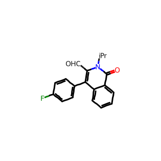 CC(C)n1c(C=O)c(-c2ccc(F)cc2)c2ccccc2c1=O